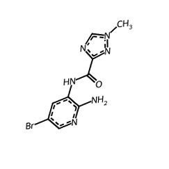 Cn1cnc(C(=O)Nc2cc(Br)cnc2N)n1